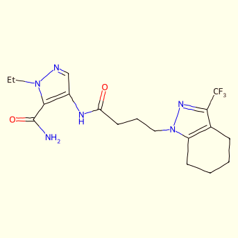 CCn1ncc(NC(=O)CCCn2nc(C(F)(F)F)c3c2CCCC3)c1C(N)=O